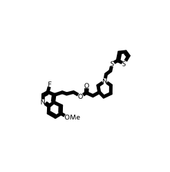 COc1ccc2ncc(F)c(CCCOC(=O)CC3CCCN(CCSc4cccs4)C3)c2c1